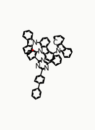 c1ccc(-c2ccc(-c3nc(-c4ccccc4)nc(-c4ccccc4-n4c5cccc(-n6c7ccccc7c7ccccc76)c5c5cccc(-n6c7ccccc7c7ccccc76)c54)n3)cc2)cc1